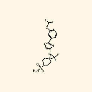 NS(=O)(=O)N1CCC2(CC1)[C@H](c1noc(-c3ccnc(OC(F)F)c3)n1)C2(F)F